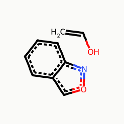 C=CO.c1ccc2nocc2c1